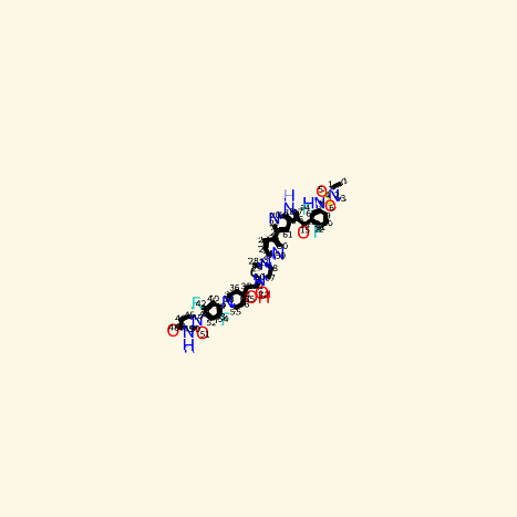 CCN(C)S(=O)(=O)Nc1ccc(F)c(C(=O)c2c[nH]c3ncc(-c4ccc(N5CCN(C(=O)CC6(O)CCN(c7cc(F)c(N8CCC(=O)NC8=O)cc7F)CC6)CC5)nc4)cc23)c1F